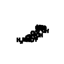 Nc1ccn([C@@H]2O[C@H](COP(=O)(O)CP(=O)(O)O)[C@@H](O)C2=CF)c(=O)n1